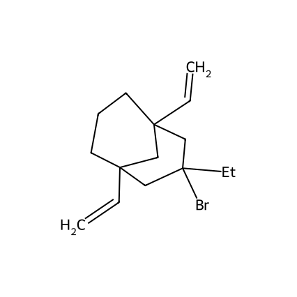 C=CC12CCCC(C=C)(CC(Br)(CC)C1)C2